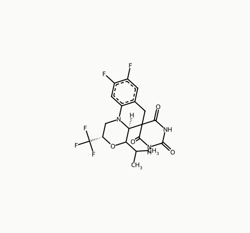 CC(C)C1O[C@H](C(F)(F)F)CN2c3cc(F)c(F)cc3CC3(C(=O)NC(=O)NC3=O)[C@@H]12